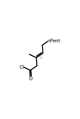 CCCCCC/C=C(\C)CC(=O)Cl